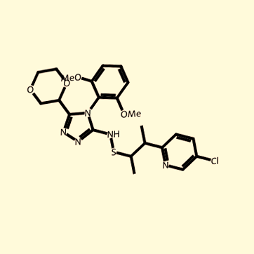 COc1cccc(OC)c1-n1c(NSC(C)C(C)c2ccc(Cl)cn2)nnc1C1COCCO1